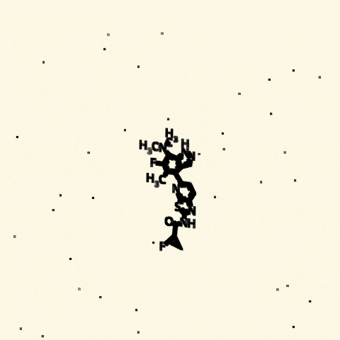 Cc1c(F)c(N(C)C)c2[nH]ncc2c1-c1ccc2nc(NC(=O)C3CC3F)sc2n1